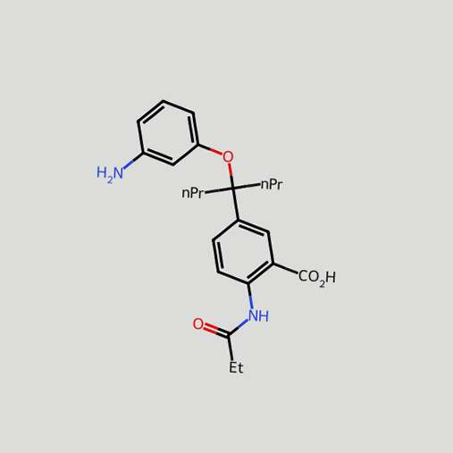 CCCC(CCC)(Oc1cccc(N)c1)c1ccc(NC(=O)CC)c(C(=O)O)c1